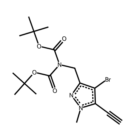 C#Cc1c(Br)c(CN(C(=O)OC(C)(C)C)C(=O)OC(C)(C)C)nn1C